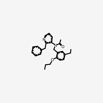 CCCOc1ccc(CC)cc1CN(C(C)=O)c1cccnc1Cc1ccccc1